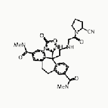 CNC(=O)c1ccc2c(c1)CCc1cc(C(=O)NC)ccc1C2(CCNCC(=O)N1CCC[C@H]1C#N)c1nc(=O)o[nH]1